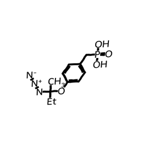 CCC(C)(N=[N+]=[N-])Oc1ccc(CP(=O)(O)O)cc1